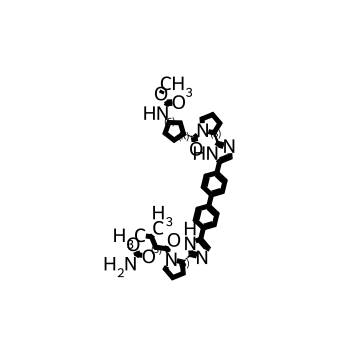 COC(=O)N[C@H]1CC[C@@H](C(=O)N2CCC[C@H]2c2ncc(-c3ccc(-c4ccc(-c5cnc([C@@H]6CCCN6C(=O)[C@@H](OC(N)=O)C(C)C)[nH]5)cc4)cc3)[nH]2)C1